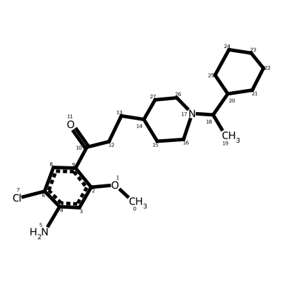 COc1cc(N)c(Cl)cc1C(=O)CCC1CCN(C(C)C2CCCCC2)CC1